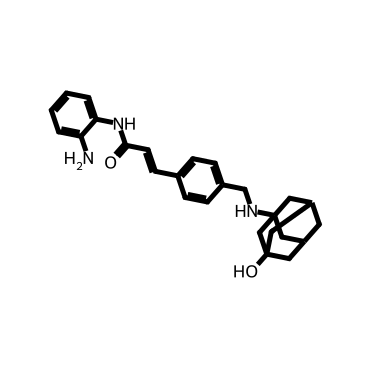 Nc1ccccc1NC(=O)C=Cc1ccc(CNC23CC4CC(CC(O)(C4)C2)C3)cc1